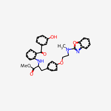 COC(=O)C(Cc1ccc(OCCN(C)c2nc3ccccc3o2)cc1)Nc1ccccc1C(=O)c1cccc(O)c1